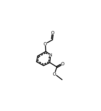 COC(=O)c1cccc(OC=O)n1